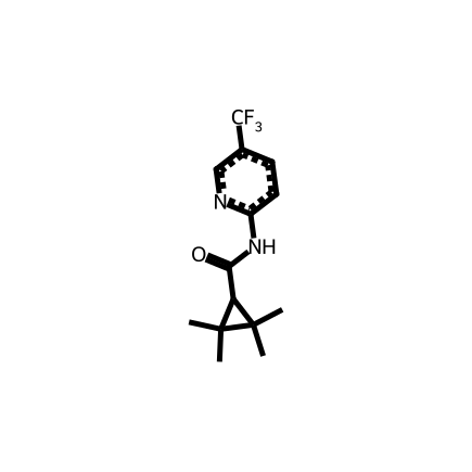 CC1(C)C(C(=O)Nc2ccc(C(F)(F)F)cn2)C1(C)C